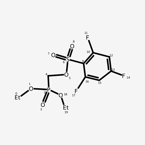 CCOP(=O)(COS(=O)(=O)c1c(F)cc(F)cc1F)OCC